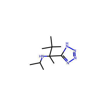 CC(C)NC(C)(c1nnn[nH]1)C(C)(C)C